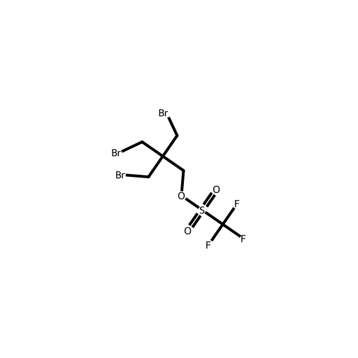 O=S(=O)(OCC(CBr)(CBr)CBr)C(F)(F)F